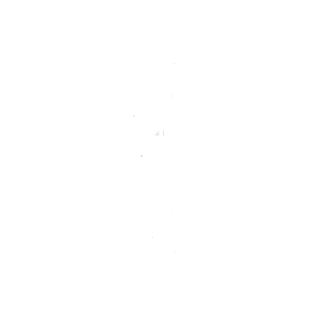 C=CC(=O)OCCCC[SiH2]CC(OCC)OCC